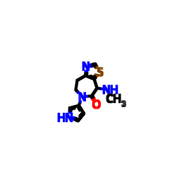 CNC1C(=O)N(c2cc[nH]c2)CCc2ncsc21